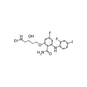 CCNC[C@H](O)CCOc1cc(F)cc(Nc2ccc(I)cc2F)c1C(N)=O